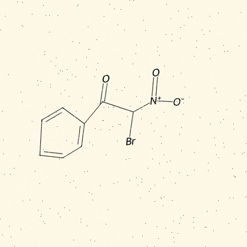 O=C(c1ccccc1)C(Br)[N+](=O)[O-]